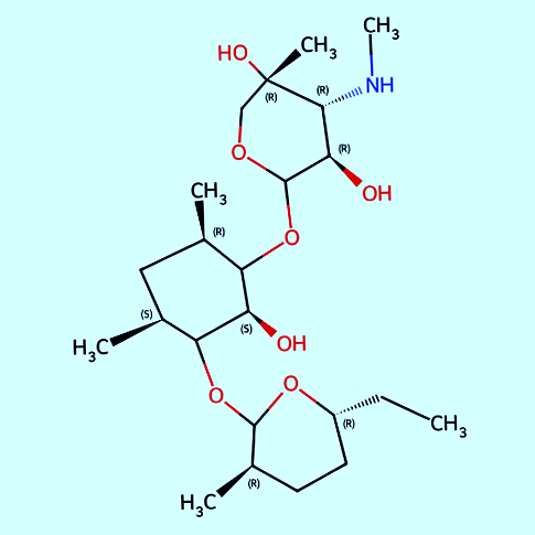 CC[C@@H]1CC[C@@H](C)C(OC2[C@H](O)C(OC3OC[C@](C)(O)[C@H](NC)[C@H]3O)[C@H](C)C[C@@H]2C)O1